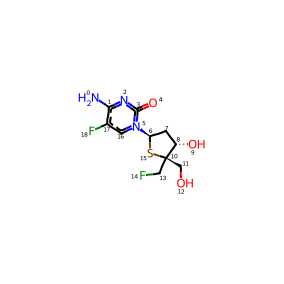 Nc1nc(=O)n([C@H]2C[C@H](O)[C@](CO)(CF)S2)cc1F